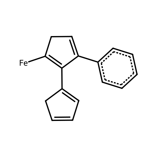 [Fe][C]1=C(C2=CC=CC2)C(c2ccccc2)=CC1